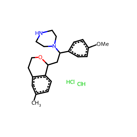 COc1ccc(C(CC2OCCc3cc(C)ccc32)N2CCNCC2)cc1.Cl.Cl